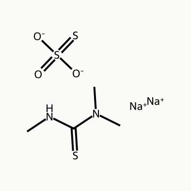 CNC(=S)N(C)C.O=S([O-])([O-])=S.[Na+].[Na+]